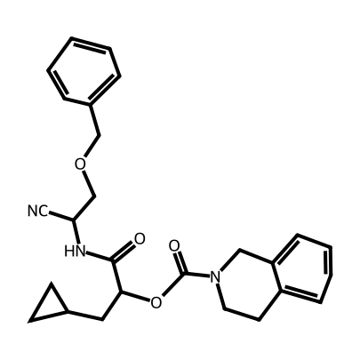 N#CC(COCc1ccccc1)NC(=O)C(CC1CC1)OC(=O)N1CCc2ccccc2C1